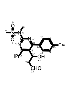 CC(C)c1nc(N(C)S(C)(=O)=O)nc(-c2ccc(F)cc2)c1C(O)CC=O